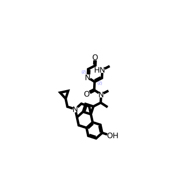 CN/C=C(\N=C/C=O)C(=O)N(C)C(C)C1C=C2C3Cc4ccc(O)cc4C21CCN3CC1CC1